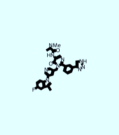 CN[C@@H](C)C(=O)Nc1cnc(-c2cccc(-c3c[nH]nn3)c2)n(Cc2cncc(-n3cc(C)c4c3C=CC(F)C4)c2)c1=O